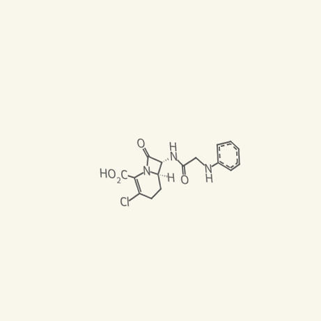 O=C(CNc1ccccc1)N[C@H]1C(=O)N2C(C(=O)O)=C(Cl)CC[C@H]12